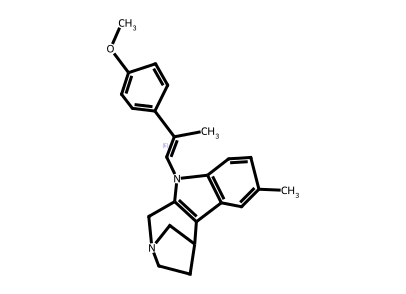 COc1ccc(/C(C)=C/n2c3c(c4cc(C)ccc42)C2CCN(C3)C2)cc1